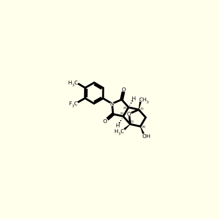 Cc1ccc(N2C(=O)[C@@H]3[C@H](C2=O)[C@]2(C)O[C@@]3(C)C[C@H]2O)cc1C(F)(F)F